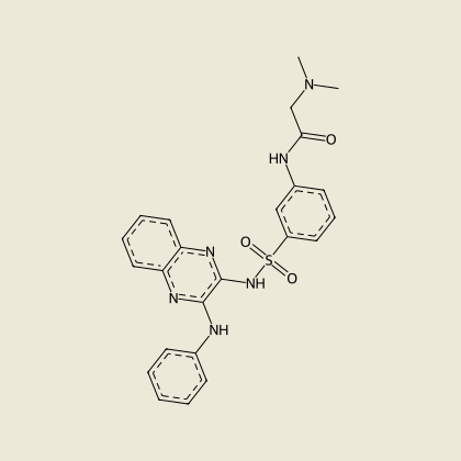 CN(C)CC(=O)Nc1cccc(S(=O)(=O)Nc2nc3ccccc3nc2Nc2ccccc2)c1